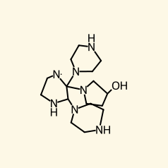 OC1CCN(C2(N3CCNCC3)[N]CCNC2N2CCNCC2)C1